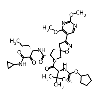 CCC[C@H](NC(=O)[C@@H]1C[C@@]2(CC(c3cnc(OC)nc3OC)=NO2)CN1C(=O)[C@@H](NC(=O)OC1CCCC1)C(C)(C)C)C(=O)C(=O)NC1CC1